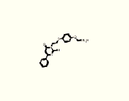 CCc1nc(-c2ccccc2)cc(=O)n1CCSc1ccc(OCC(=O)O)cc1